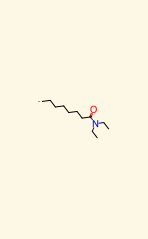 [CH2]CCCCCCC(=O)N(CC)CC